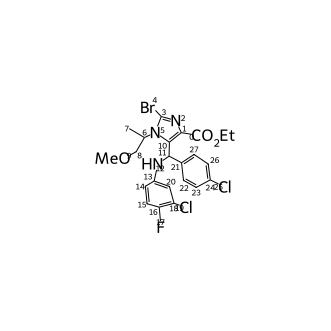 CCOC(=O)c1nc(Br)n(C(C)COC)c1C(Nc1ccc(F)c(Cl)c1)c1ccc(Cl)cc1